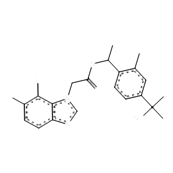 Cc1cc(C(C)(C)C#N)ccc1C(C)NC(=O)Cn1cnc2ccc(F)c(F)c21